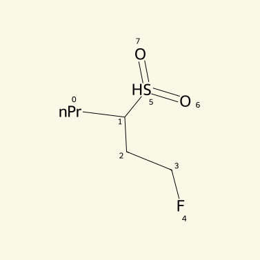 [CH2]CCC(CCF)[SH](=O)=O